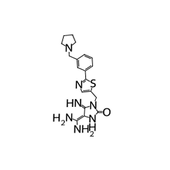 N=C1C(=C(N)N)NC(=O)N1Cc1cnc(-c2cccc(CN3CCCC3)c2)s1